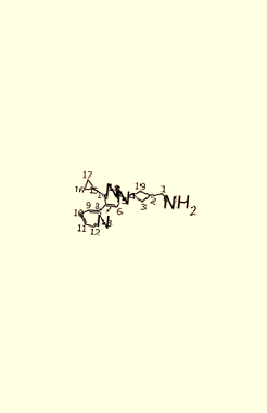 NCC1CC(n2cc(-c3ccccn3)c(C3CC3)n2)C1